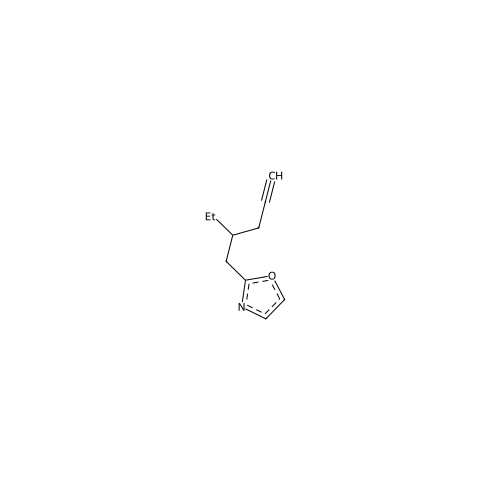 C#CCC(CC)Cc1ncco1